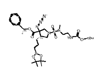 C[C@@H](OC(=O)C1(N=[N+]=[N-])CN(S(=O)(=O)N(C)CCNC(=O)OC(C)(C)C)C[C@@H]1CCCB1OC(C)(C)C(C)(C)O1)c1ccccc1